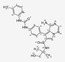 Cc1ccnc(NC(=O)Nc2ccc(-c3c(C(=O)NC(C)(C)CO)cn4ncnc(N)c34)cc2)c1